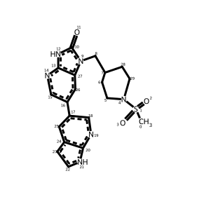 CS(=O)(=O)N1CCC(Cn2c(=O)[nH]c3ncc(-c4cnc5[nH]ccc5c4)cc32)CC1